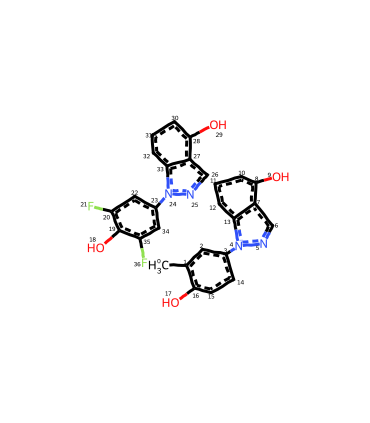 Cc1cc(-n2ncc3c(O)cccc32)ccc1O.Oc1c(F)cc(-n2ncc3c(O)cccc32)cc1F